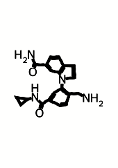 NCc1ccc(C(=O)NC2CC2)cc1-n1ccc2ccc(C(N)=O)cc21